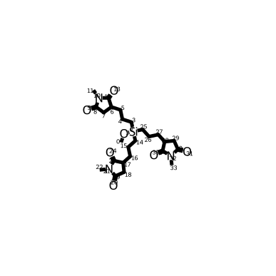 CO[Si](CCCC1CC(=O)N(C)C1=O)(CCCC1CC(=O)N(C)C1=O)CCCC1CC(=O)N(C)C1=O